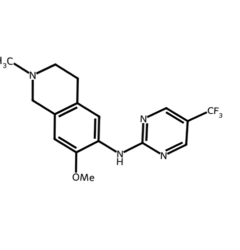 COc1cc2c(cc1Nc1ncc(C(F)(F)F)cn1)CCN(C)C2